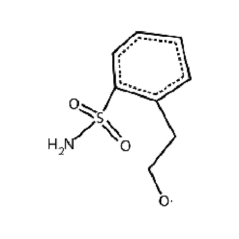 NS(=O)(=O)c1ccccc1CC[O]